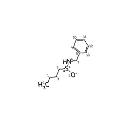 CCCC[S+]([O-])NCc1ccccc1